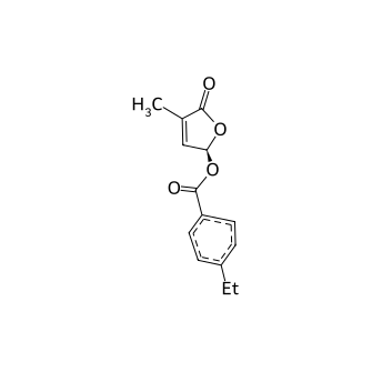 CCc1ccc(C(=O)O[C@H]2C=C(C)C(=O)O2)cc1